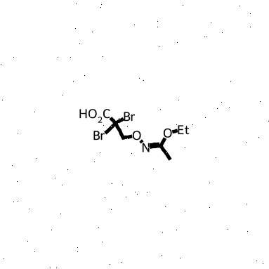 CCO/C(C)=N\OCC(Br)(Br)C(=O)O